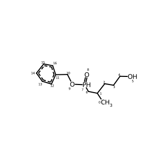 CC(CCCO)C[PH](=O)OCc1ccccc1